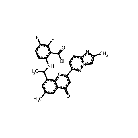 Cc1cc(C(C)Nc2ccc(F)c(F)c2C(=O)O)c2oc(-c3ccc4nc(C)cn4n3)cc(=O)c2c1